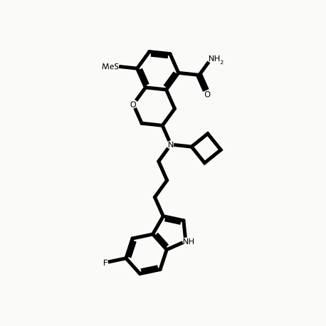 CSc1ccc(C(N)=O)c2c1OCC(N(CCCc1c[nH]c3ccc(F)cc13)C1CCC1)C2